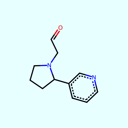 O=CCN1CCCC1c1cccnc1